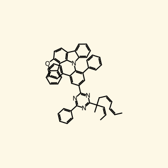 C/C=C\C=C/CC(C)(/C=C\C)c1nc(-c2ccccc2)nc(-c2cc(-c3ccccc3)c(-n3c4ccccc4c4ccc5oc6ccccc6c5c43)c(-c3ccccc3)c2)n1